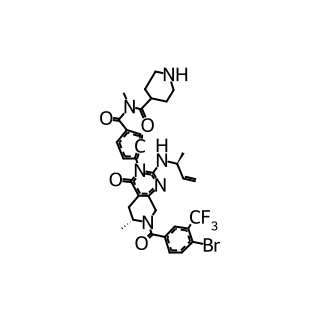 C=C[C@H](C)Nc1nc2c(c(=O)n1-c1ccc(C(=O)N(C)C(=O)C3CCNCC3)cc1)C[C@@H](C)N(C(=O)c1ccc(Br)c(C(F)(F)F)c1)C2